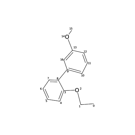 CCOc1c[c]ccc1-c1cccc(OC)c1